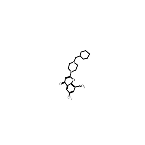 O=c1cc(N2CCN(CC3CCCCC3)CC2)oc2c([N+](=O)[O-])cc(C(F)(F)F)cc12